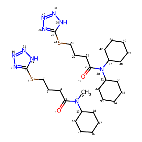 CN(C(=O)CCCSc1nnn[nH]1)C1CCCCC1.O=C(CCCSc1nnn[nH]1)N(C1CCCCC1)C1CCCCC1